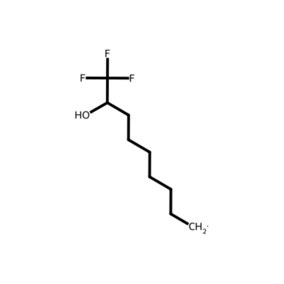 [CH2]CCCCCCC(O)C(F)(F)F